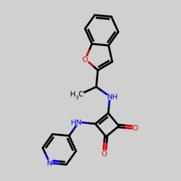 CC(Nc1c(Nc2ccncc2)c(=O)c1=O)c1cc2ccccc2o1